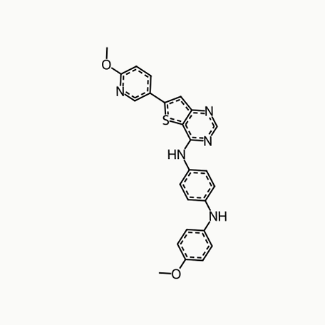 COc1ccc(Nc2ccc(Nc3ncnc4cc(-c5ccc(OC)nc5)sc34)cc2)cc1